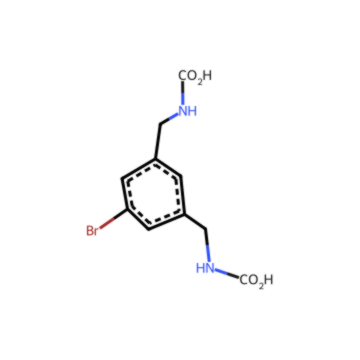 O=C(O)NCc1cc(Br)cc(CNC(=O)O)c1